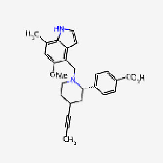 CC#CC1CCN(Cc2c(OC)cc(C)c3[nH]ccc23)[C@H](c2ccc(C(=O)O)cc2)C1